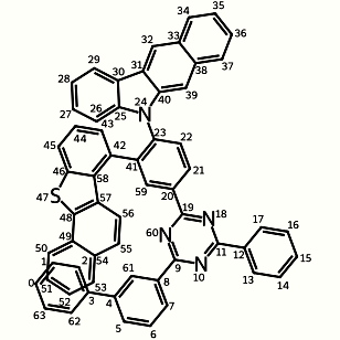 c1ccc(-c2cccc(-c3nc(-c4ccccc4)nc(-c4ccc(-n5c6ccccc6c6cc7ccccc7cc65)c(-c5cccc6sc7c8ccccc8ccc7c56)c4)n3)c2)cc1